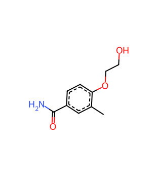 Cc1cc(C(N)=O)ccc1OCCO